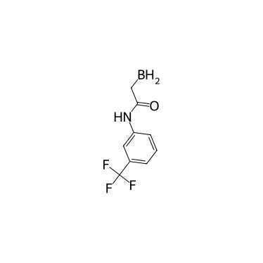 BCC(=O)Nc1cccc(C(F)(F)F)c1